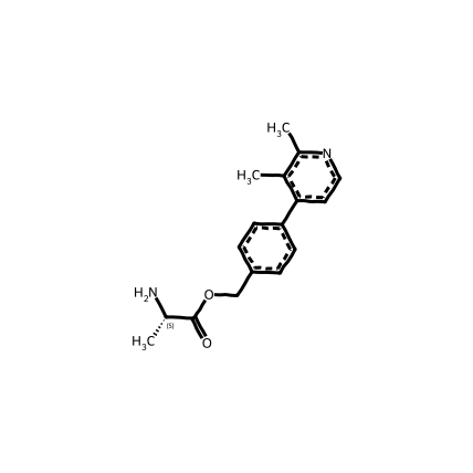 Cc1nccc(-c2ccc(COC(=O)[C@H](C)N)cc2)c1C